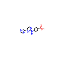 CCOC(=O)c1ccc(Nc2nccc(-c3cnccn3)n2)cc1